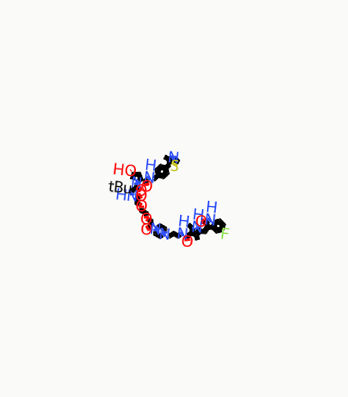 Cc1ncsc1-c1ccc(CNC(=O)[C@@H]2C[C@@H](O)CN2C(=O)[C@@H](NC(=O)COCCOCC(=O)N2CCN(CCCNC(=O)c3c(C)[nH]c(/C=C4\C(=O)Nc5ccc(F)cc54)c3C)CC2)C(C)(C)C)cc1